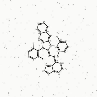 Cc1cccc(C)c1N1C(=C/C=c2/ncnc3c2=NN=C3)N(c2c(C)cccc2C)c2nc3ccccc3nc21